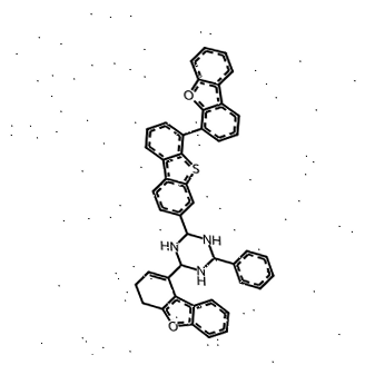 C1=C(C2NC(c3ccccc3)NC(c3ccc4c(c3)sc3c(-c5cccc6c5oc5ccccc56)cccc34)N2)c2c(oc3ccccc23)CC1